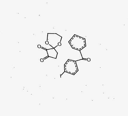 O=C(c1ccccc1)c1ccc(I)cc1.O=C1CCC2(OCCCO2)C1=O